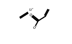 C=C.C=CC(=O)[O-].[Li+]